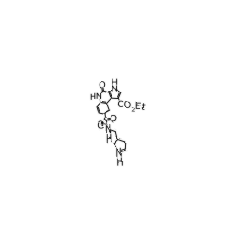 CCOC(=O)c1c[nH]c2c(=O)[nH]c3ccc(S(=O)(=O)NCC4CCNC4)cc3c12